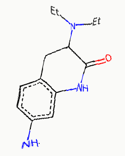 CCN(CC)C1Cc2ccc([NH])cc2NC1=O